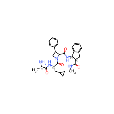 CNC(=O)[C@@H]1Cc2ccccc2[C@@H]1NC(=O)C1C(c2ccccc2)CN1C(=O)[C@H](CC1CC1)NC(=O)[C@H](C)N